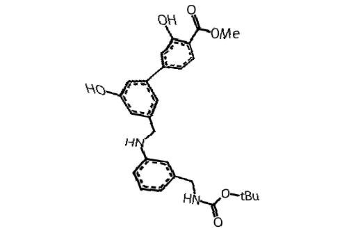 COC(=O)c1ccc(-c2cc(O)cc(CNc3cccc(CNC(=O)OC(C)(C)C)c3)c2)cc1O